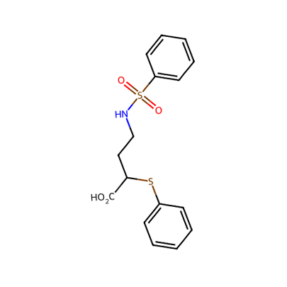 O=C(O)C(CCNS(=O)(=O)c1ccccc1)Sc1ccccc1